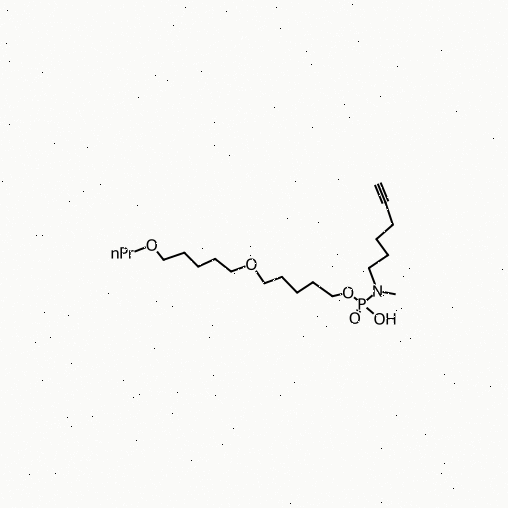 C#CCCCCN(C)P(=O)(O)OCCCCCOCCCCCOCCC